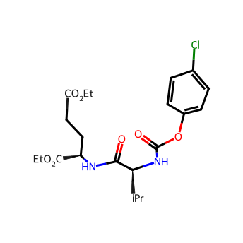 CCOC(=O)CC[C@@H](NC(=O)[C@@H](NC(=O)Oc1ccc(Cl)cc1)C(C)C)C(=O)OCC